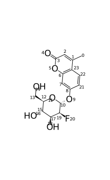 Cc1cc(=O)oc2cc(O[C@H]3O[C@H](CO)[C@@H](O)[C@H](O)[C@@H]3F)ccc12